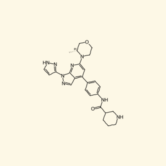 C[C@@H]1COCCN1c1cc(-c2ccc(NC(=O)C3CCCNC3)cc2)c2cnn(-c3cc[nH]n3)c2n1